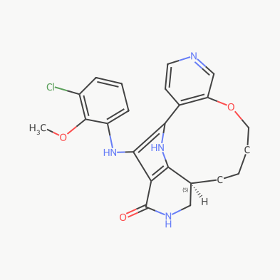 COc1c(Cl)cccc1Nc1c2[nH]c3c1C(=O)NC[C@@H]3CCCCOc1cnccc1-2